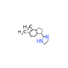 Cc1ccc2c(c1C)CCC2C1=NCCN1